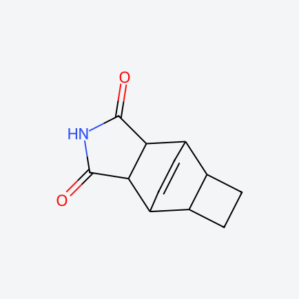 O=C1NC(=O)C2C3C=CC(C4CCC34)C12